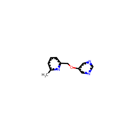 Cc1cccc(COc2cncnc2)n1